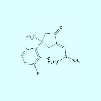 Cc1c(F)cccc1C1(C(=O)O)CC(=O)/C(=C/N(C)C)C1